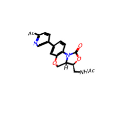 CC(=O)NC[C@@H]1OC(=O)N2c3ccc(-c4ccc(C(C)=O)nc4)cc3OC[C@@H]12